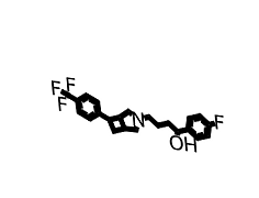 OC(CCCN1CC2CC(c3ccc(C(F)(F)F)cc3)C2C1)c1ccc(F)cc1